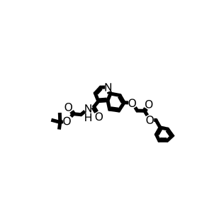 CC(C)(C)OC(=O)CNC(=O)c1ccnc2cc(OCC(=O)OCc3ccccc3)ccc12